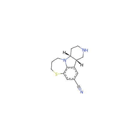 N#Cc1cc2c3c(c1)[C@H]1CNCC[C@H]1N3CCCS2